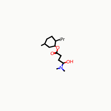 CC1CCC(C(C)C)C(OC(=O)CCC(O)N(C)C)C1